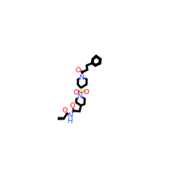 C=CC(=O)NC1CC2CCN(S(=O)(=O)C3CCN(C(=O)CCc4ccccc4)CC3)CC2O1